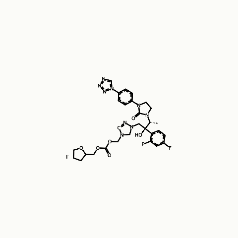 C[C@@H](N1CCN(c2ccc(-n3cnnn3)cc2)C1=O)[C@@](O)(CN1CN(COC(=O)OCC2CCCO2)[C+]=N1)c1ccc(F)cc1F.[I-]